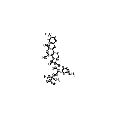 Cc1ccc(/C=C/C2=C(C(=O)O)N3C(=O)C(NC(=O)/C(=N\OC(C)(C)C(=O)O)c4csc(N)n4)C3SC2)c([N+](=O)[O-])c1